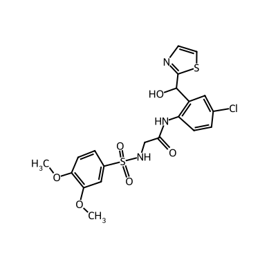 COc1ccc(S(=O)(=O)NCC(=O)Nc2ccc(Cl)cc2C(O)c2nccs2)cc1OC